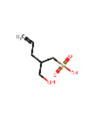 C=CCC(CO)CS(=O)(=O)O